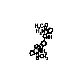 CC(=O)N(N)c1ccccc1-c1ccc(-c2cccc(-c3ccc(-c4ccccc4N(N)C(C)=O)[nH]3)c2)[nH]1